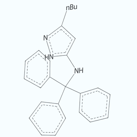 CCCCc1cc(NC(c2ccccc2)(c2ccccc2)c2ccccc2)[nH]n1